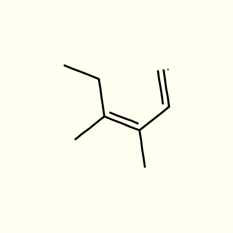 [CH]=CC(C)=C(C)CC